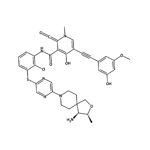 COc1cc(O)cc(C#CC2=CN(C)C(=C=O)C(C(=O)Nc3cccc(Sc4cnc(N5CCC6(CC5)CO[C@@H](C)[C@H]6N)cn4)c3Cl)=C2O)c1